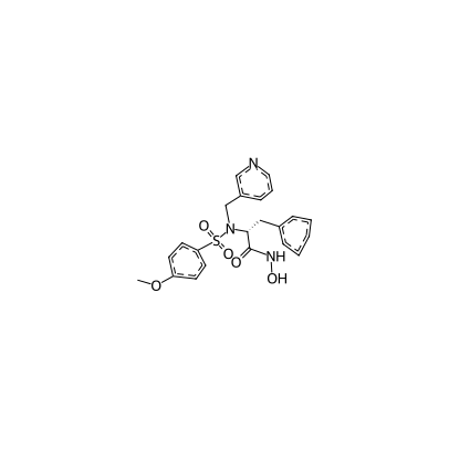 COc1ccc(S(=O)(=O)N(Cc2cccnc2)[C@H](Cc2ccccc2)C(=O)NO)cc1